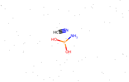 C#N.NP(O)O